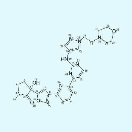 CN1CCC(O)(c2cc(-c3cccc(-c4ccnc(Nc5cnn(CCN6CCOCC6)c5)n4)n3)no2)C1=O